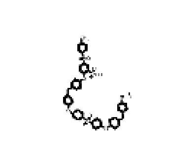 COc1ccc(Cc2ccc(Oc3ccc(S(=O)(=O)c4ccc(Oc5ccc(Cc6ccc(Oc7ccc(S(=O)(=O)c8ccc(C)cc8)cc7S(=O)(=O)O)cc6)cc5)cc4)cc3)cc2)cc1